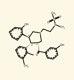 Cc1cccc([C@H]2[C@@H](C(=O)c3cccc(O)c3)CN(CCN(C)S(C)(=O)=O)C[C@@H]2c2[c]cccc2O)c1F